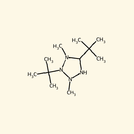 CN1NC(C(C)(C)C)N(C)N1C(C)(C)C